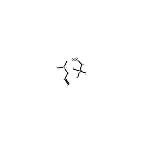 C=CCN(C)C.C[N+](C)(C)CC(=O)[O-]